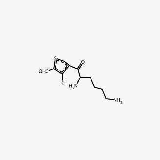 NCCCC[C@@H](N)C(=O)c1csc([C]=O)c1Cl